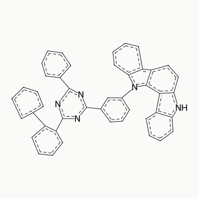 c1ccc(-c2nc(-c3cccc(-n4c5ccccc5c5ccc6[nH]c7ccccc7c6c54)c3)nc(-c3ccccc3-c3ccccc3)n2)cc1